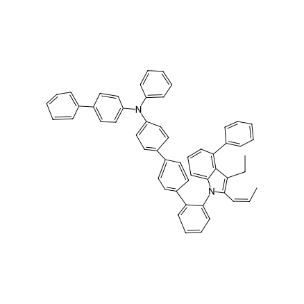 C/C=C\c1c(CC)c2c(-c3ccccc3)cccc2n1-c1ccccc1-c1ccc(-c2ccc(N(c3ccccc3)c3ccc(-c4ccccc4)cc3)cc2)cc1